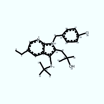 CCc1cnc2c(c1)c(SC(C)(C)C)c(CC(C)(C)O)n2Cc1ccc(Cl)cc1